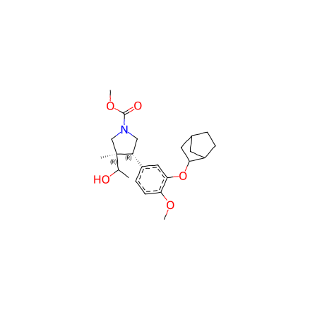 COC(=O)N1C[C@H](c2ccc(OC)c(OC3CC4CCC3C4)c2)[C@@](C)(C(C)O)C1